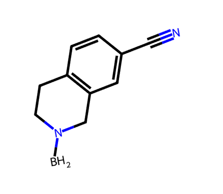 BN1CCc2ccc(C#N)cc2C1